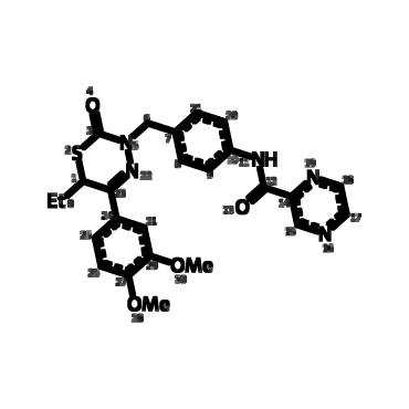 CCC1SC(=O)N(Cc2ccc(NC(=O)c3cnccn3)cc2)N=C1c1ccc(OC)c(OC)c1